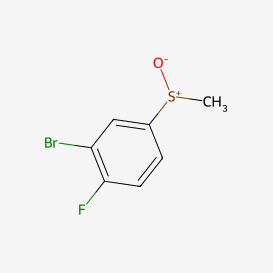 C[S+]([O-])c1ccc(F)c(Br)c1